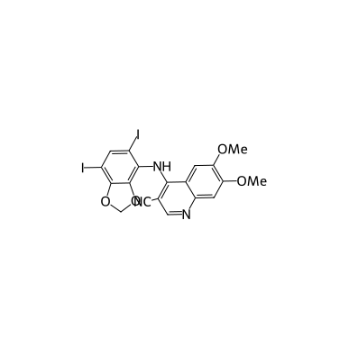 COc1cc2ncc(C#N)c(Nc3c(I)cc(I)c4c3OCO4)c2cc1OC